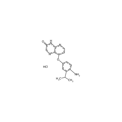 CC(C)c1cc(Oc2ccnc3[nH]c(=O)cnc23)ccc1N.Cl